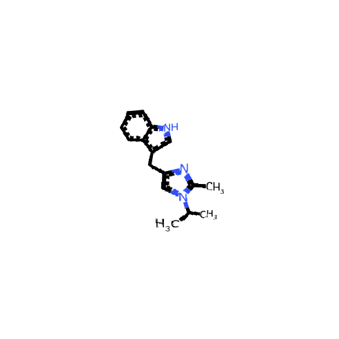 Cc1nc(Cc2c[nH]c3ccccc23)cn1C(C)C